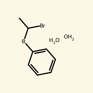 CC(Br)[B]c1ccccc1.O.O